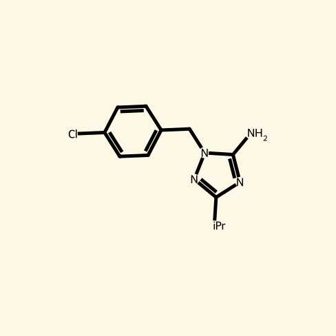 CC(C)c1nc(N)n(Cc2ccc(Cl)cc2)n1